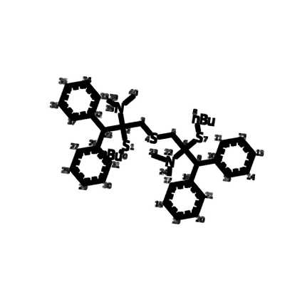 CCCCSC(CSCC(SCCCC)(C(c1ccccc1)c1ccccc1)N(C)C)(C(c1ccccc1)c1ccccc1)N(C)C